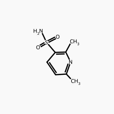 Cc1ccc(S(N)(=O)=O)c(C)n1